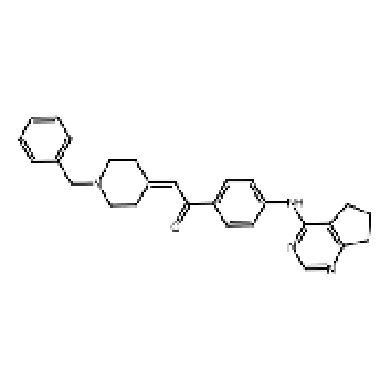 O=C(C=C1CCN(Cc2ccccc2)CC1)c1ccc(Nc2ncnc3c2CCC3)cc1